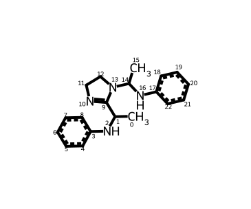 CC(Nc1ccccc1)C1=NCCN1C(C)Nc1ccccc1